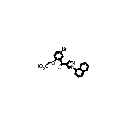 O=C(O)COc1ccc(Br)cc1C(=O)c1cnn(-c2cccc3ccccc23)c1